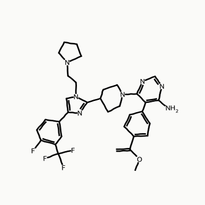 C=C(OC)c1ccc(-c2c(N)ncnc2N2CCC(c3nc(-c4ccc(F)c(C(F)(F)F)c4)cn3CCN3CCCC3)CC2)cc1